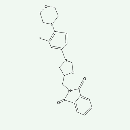 O=C1c2ccccc2C(=O)N1CC1CN(c2ccc(N3CCOCC3)c(F)c2)CO1